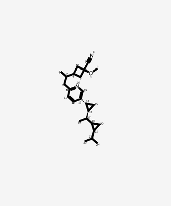 COC1(C#N)CC(C(C)Cc2ccc([C@@H]3C[C@H]3C(C)C3CC3C(C)C)cn2)C1